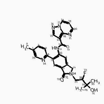 Cc1ccc(-c2cc3c(cc2NC(=O)c2cnn4cccnc24)CN(CC(F)C(C)(C)O)C3=O)nc1